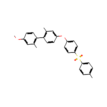 COc1ccc(-c2ccc(Oc3ccc(S(=O)(=O)c4ccc(C)cc4)cc3)cc2C)c(C)c1